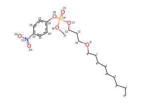 CCCCCCCCCOCCCOP(=O)(OC)Oc1ccc([N+](=O)[O-])cc1